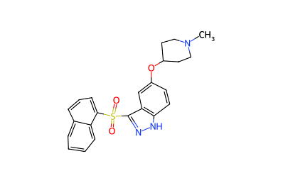 CN1CCC(Oc2ccc3[nH]nc(S(=O)(=O)c4cccc5ccccc45)c3c2)CC1